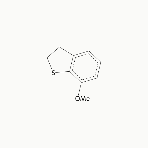 COc1cccc2c1SCC2